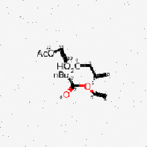 C=CCC(=O)O.C=COC(=O)CCCC.C=COC(C)=O